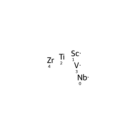 [Nb].[Sc].[Ti].[V].[Zr]